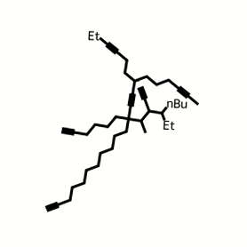 C#CCCCCCCCCCC(C#C[C](CCC#CCC)CCCC#CC)(CCCCC#C)C(C)C(C#C)C(CC)CCCC